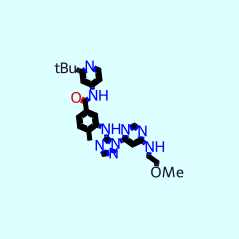 COCCNc1cc(-n2ncnc2Nc2cc(C(=O)Nc3ccnc(C(C)(C)C)c3)ccc2C)ncn1